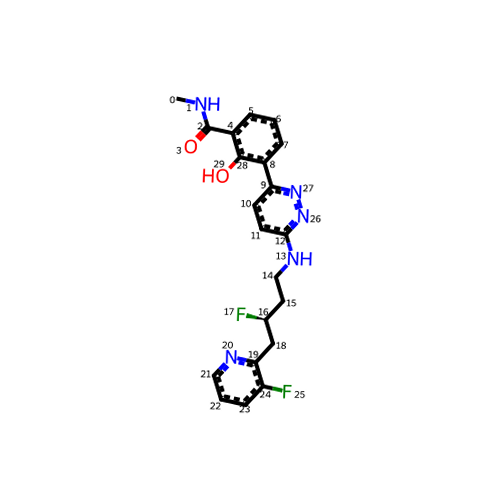 CNC(=O)c1cccc(-c2ccc(NCC[C@H](F)Cc3ncccc3F)nn2)c1O